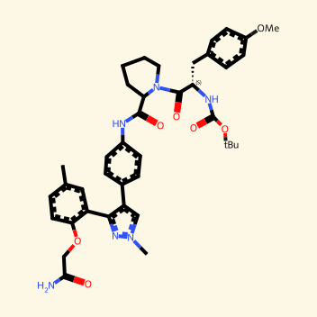 COc1ccc(C[C@H](NC(=O)OC(C)(C)C)C(=O)N2CCCCC2C(=O)Nc2ccc(-c3cn(C)nc3-c3cc(C)ccc3OCC(N)=O)cc2)cc1